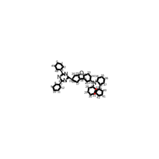 c1ccc(-c2nc(-c3ccccc3)nc(-c3ccc4c(c3)oc3ccc(N(c5ccccc5)c5ccccc5-c5ccccc5)cc34)n2)cc1